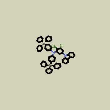 Clc1cc(-n2c3ccccc3c3ccccc32)cc(N(c2ccc([Si](c3ccccc3)(c3ccccc3)c3ccccc3)cc2)c2ccc([Si](c3ccccc3)(c3ccccc3)c3ccccc3)cc2)c1Cl